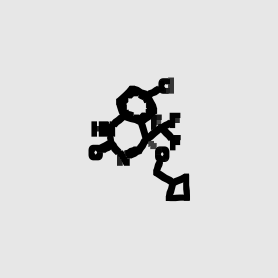 O=C1N=C[C@](OCC2CCC2)(C(F)(F)F)c2cc(Cl)ccc2N1